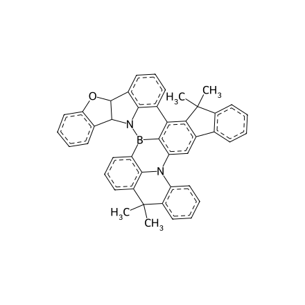 CC1(C)c2ccccc2N2c3cc4c(c5c3B(c3cccc1c32)N1c2c-5cccc2C2Oc3ccccc3C21)C(C)(C)c1ccccc1-4